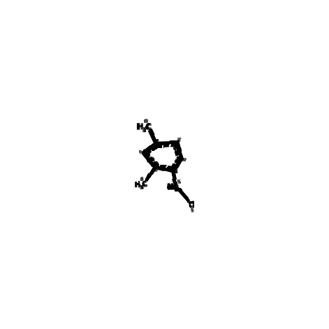 Cc1cc[c]([Mg][Cl])c(C)c1